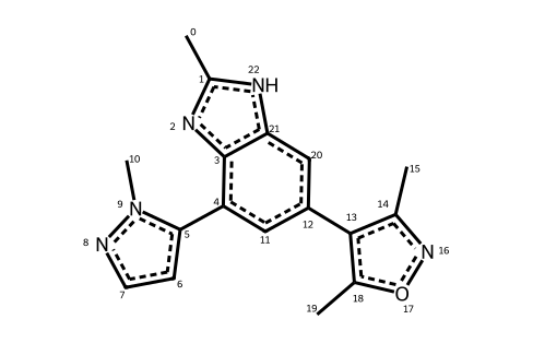 Cc1nc2c(-c3ccnn3C)cc(-c3c(C)noc3C)cc2[nH]1